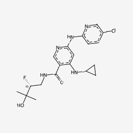 CC(C)(O)[C@H](F)CNC(=O)c1cnc(Nc2ccc(Cl)cn2)cc1NC1CC1